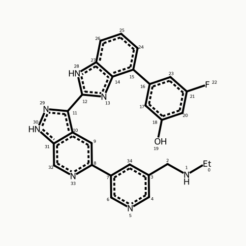 CCNCc1cncc(-c2cc3c(-c4nc5c(-c6cc(O)cc(F)c6)cccc5[nH]4)n[nH]c3cn2)c1